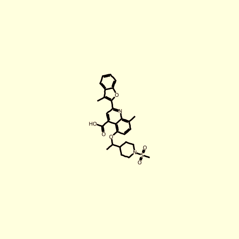 Cc1c(-c2cc(C(=O)O)c3c(OC(C)C4CCN(S(C)(=O)=O)CC4)ccc(C)c3n2)oc2ccccc12